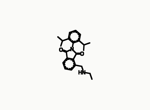 CCNCc1cccc2c1C(=O)N(c1c(C(C)C)cccc1C(C)C)C2=O